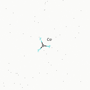 FB(F)F.[Co]